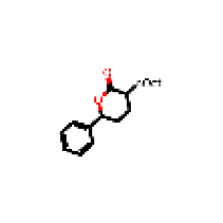 CCCCCCCCC1CCC(c2ccccc2)OC1=O